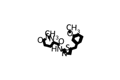 COc1cccc(Cc2cnc(NC(=O)C3=NN(C)C(=O)CC3)s2)c1